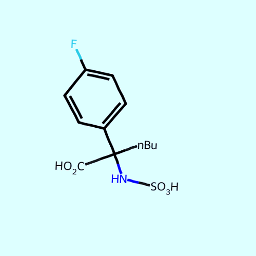 CCCCC(NS(=O)(=O)O)(C(=O)O)c1ccc(F)cc1